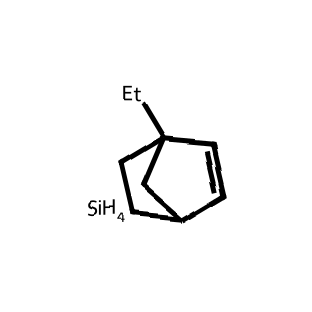 CCC12C=CC(CC1)C2.[SiH4]